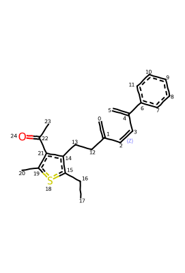 C=C(/C=C\C(=C)c1ccccc1)CCc1c(CC)sc(C)c1C(C)=O